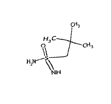 CC(C)(C)CS(=N)(N)=O